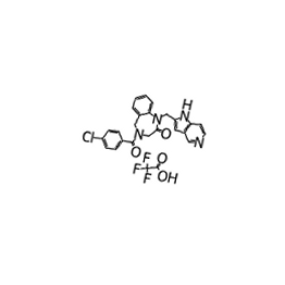 O=C(O)C(F)(F)F.O=C(c1ccc(Cl)cc1)N1CC(=O)N(Cc2cc3cnccc3[nH]2)c2ccccc2C1